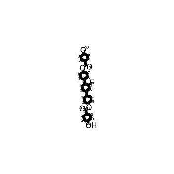 COc1ccc(C(=O)Oc2ccc(-c3ccc(-c4ccc(OC(=O)c5ccc(O)cc5)cc4)cc3F)cc2)cc1